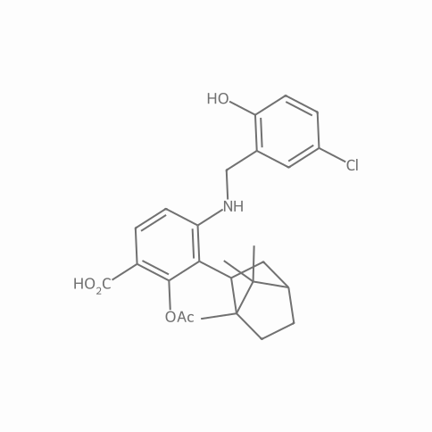 CC(=O)Oc1c(C(=O)O)ccc(NCc2cc(Cl)ccc2O)c1C1CC2CCC1(C)C2(C)C